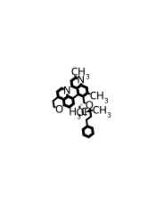 Cc1ccc2c(-c3ccc4c5c(ccnc35)CCO4)c([C@@H](CO)OC(C)(C)CCc3ccccc3)c(C)cc2n1